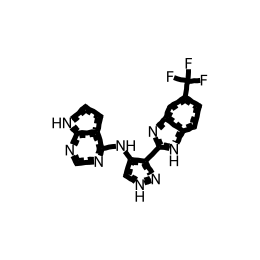 FC(F)(F)c1ccc2[nH]c(-c3n[nH]cc3Nc3ncnc4[nH]ccc34)nc2c1